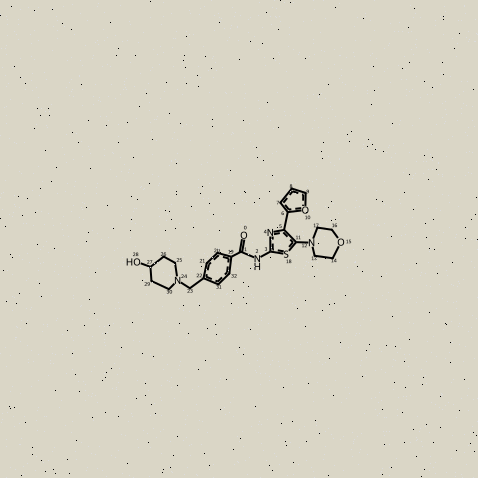 O=C(Nc1nc(-c2ccco2)c(N2CCOCC2)s1)c1ccc(CN2CCC(O)CC2)cc1